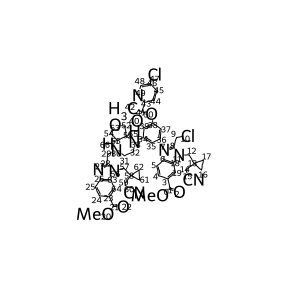 COC(=O)c1ccc2nc(CCl)n(CC3(CC#N)CC3)c2c1.COC(=O)c1ccc2nc(CN3CCN(c4cccc5c4O[C@](C)(c4ccc(Cl)cn4)O5)[C@H]4COC[C@H]43)n(CC3(CC#N)CC3)c2c1